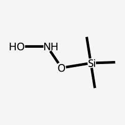 C[Si](C)(C)ONO